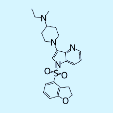 CCN(C)C1CCN(c2cn(S(=O)(=O)c3cccc4c3CCO4)c3cccnc23)CC1